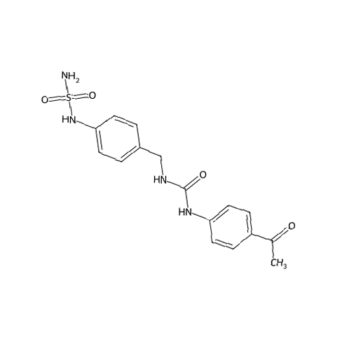 CC(=O)c1ccc(NC(=O)NCc2ccc(NS(N)(=O)=O)cc2)cc1